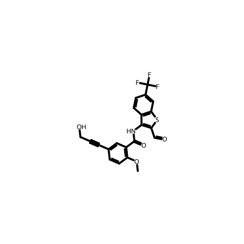 COc1ccc(C#CCO)cc1C(=O)Nc1c(C=O)sc2cc(C(F)(F)F)ccc12